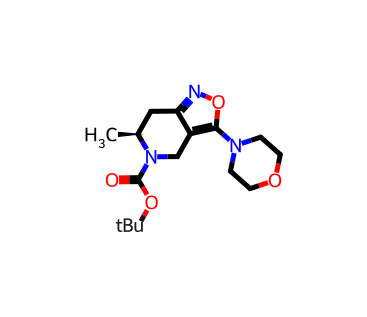 C[C@H]1Cc2noc(N3CCOCC3)c2CN1C(=O)OC(C)(C)C